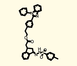 Cc1ccc(S(=O)(=O)NN=C2CC(CC(=O)OCCc3ccc(-c4nc5ccccc5n4-c4ccccc4)cc3)c3ccccc32)cc1